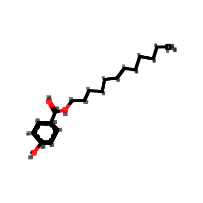 CCCCCCCCCCCCOC(=O)c1ccc([O])cc1